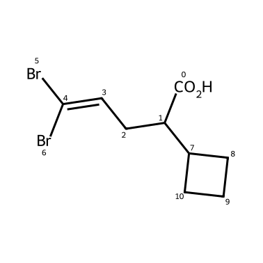 O=C(O)C(CC=C(Br)Br)C1CCC1